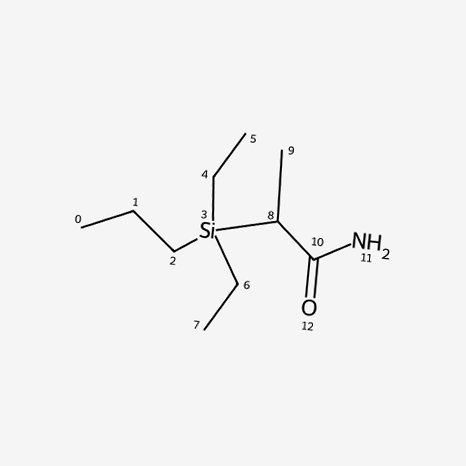 CCC[Si](CC)(CC)C(C)C(N)=O